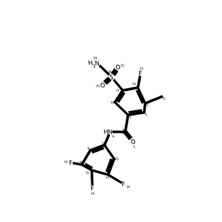 Cc1cc(C(=O)Nc2cc(F)c(F)c(F)c2)cc(S(N)(=O)=O)c1F